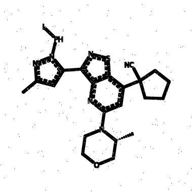 Cc1cc(-c2nsc3c(C4(C#N)CCCC4)cc(N4CCOC[C@H]4C)nc23)n(PI)n1